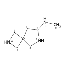 CNC1CC2(CNC2)CN1